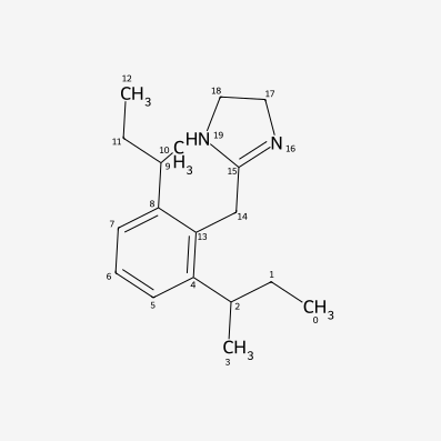 CCC(C)c1cccc(C(C)CC)c1CC1=NCCN1